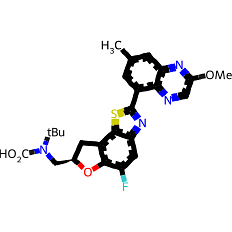 COc1cnc2c(-c3nc4cc(F)c5c(c4s3)C[C@H](CN(C(=O)O)C(C)(C)C)O5)cc(C)cc2n1